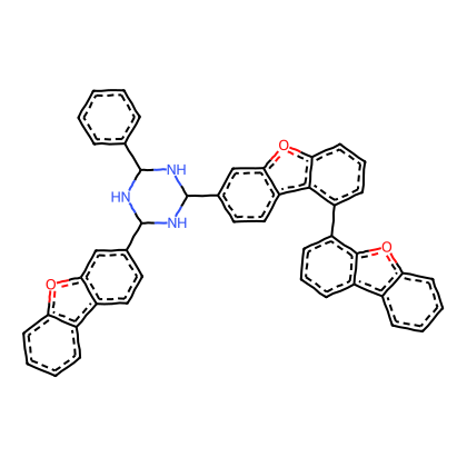 c1ccc(C2NC(c3ccc4c(c3)oc3ccccc34)NC(c3ccc4c(c3)oc3cccc(-c5cccc6c5oc5ccccc56)c34)N2)cc1